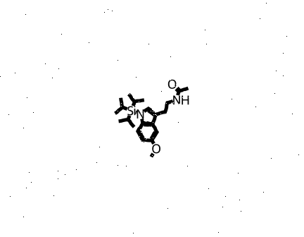 COc1ccc2c(c1)c(CCNC(C)=O)cn2[Si](C(C)C)(C(C)C)C(C)C